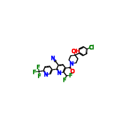 N#Cc1cc(C(=O)N2CCC(O)(c3ccc(Cl)cc3)CC2)c(C(F)F)nc1-c1ccc(C(F)(F)F)nc1